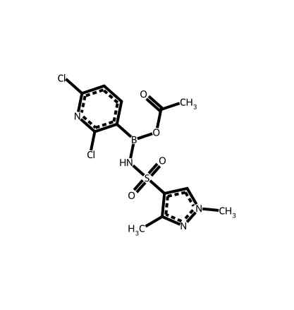 CC(=O)OB(NS(=O)(=O)c1cn(C)nc1C)c1ccc(Cl)nc1Cl